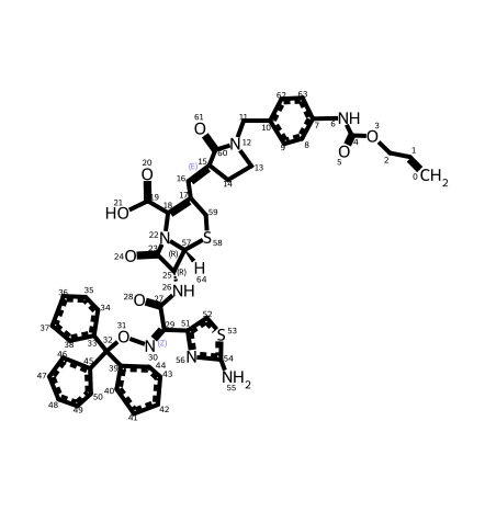 C=CCOC(=O)Nc1ccc(CN2CC/C(=C\C3=C(C(=O)O)N4C(=O)[C@@H](NC(=O)/C(=N\OC(c5ccccc5)(c5ccccc5)c5ccccc5)c5csc(N)n5)[C@H]4SC3)C2=O)cc1